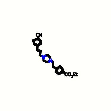 CCOC(=O)c1ccc(CCN2CCN(C/C=C/c3ccc(C#N)cc3)CC2)cc1